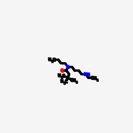 CCCCN(CCCCNCC)C(=O)CC(C)(C)C